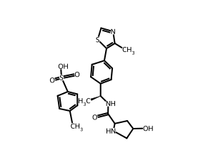 Cc1ccc(S(=O)(=O)O)cc1.Cc1ncsc1-c1ccc([C@H](C)NC(=O)C2CC(O)CN2)cc1